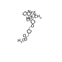 COC(=O)Cc1ccc(COc2ccc([C@H](C)[C@](O)(c3cnc4ccccc4c3)C(F)(F)F)c(Cl)c2)cc1